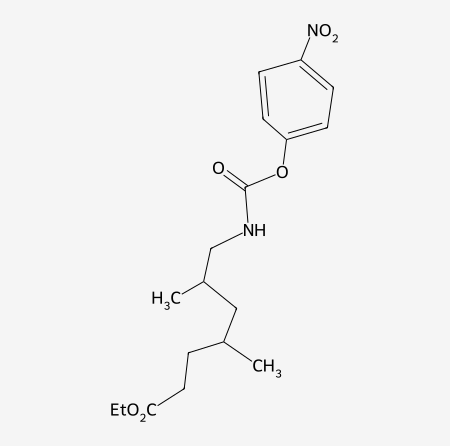 CCOC(=O)CCC(C)CC(C)CNC(=O)Oc1ccc([N+](=O)[O-])cc1